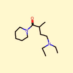 CCN(CC)CCC(C)C(=O)N1CCCCC1